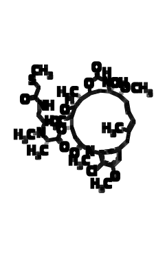 COc1cc2cc(c1Cl)N(C)C(=O)C[C@H](OC(=O)[C@H](C)N(C)C(=O)CNC(=O)CSC)C1(C)O[C@H]1[C@H](C)C1C[C@@](O)(NC(=O)O1)[C@H](OC)/C=C/C=C(\C)C2